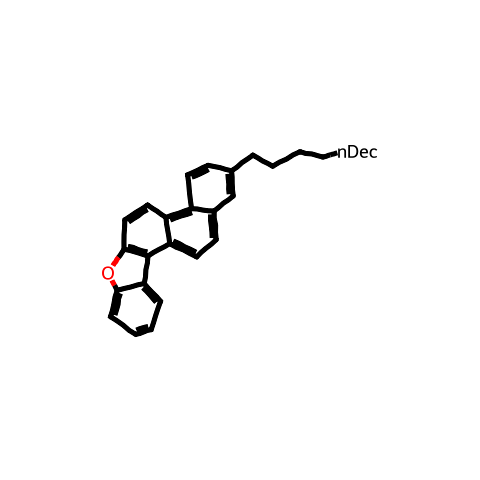 CCCCCCCCCCCCCCc1ccc2c(ccc3c2ccc2oc4ccccc4c23)c1